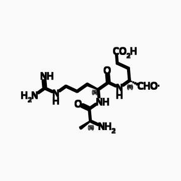 C[C@H](N)C(=O)N[C@@H](CCCNC(=N)N)C(=O)N[C@@H]([C]=O)CCC(=O)O